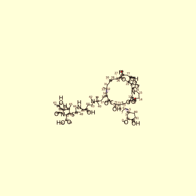 CO[C@@H]1C[C@H](/C=C(\C)[C@H]2OC(=O)[C@@H]3CCCCN3C(=O)C(=O)[C@]3(O)O[C@H]([C@@H](C)C[C@@H](C)C/C(C)=C/[C@@H](CCC(C)(C)N(C)CC[C@@H](O)[C@@H]4C[C@H](SC5=C(C(=O)O)N6C(=O)[C@H]([C@@H](C)O)[C@H]6[C@H]5C)CN4)C(=O)C[C@H](O)[C@H]2C)[C@@H](C)C[C@H]3C)CC[C@H]1O